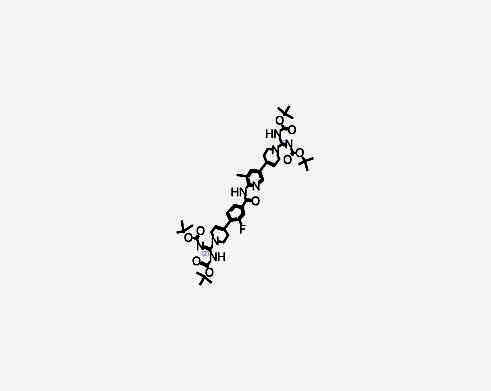 Cc1cc(C2=CCN(/C(=N\C(=O)OC(C)(C)C)NC(=O)OC(C)(C)C)CC2)cnc1NC(=O)c1ccc(C2=CCN(/C(=N\C(=O)OC(C)(C)C)NC(=O)OC(C)(C)C)CC2)c(F)c1